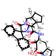 CC(=O)NC1(C(=O)N2C[C@H]3CCC[C@H]3[C@H]2C(=O)N[C@@H](C[C@H]2CCNC2=O)C(=O)CO)c2ccccc2-c2ccccc21